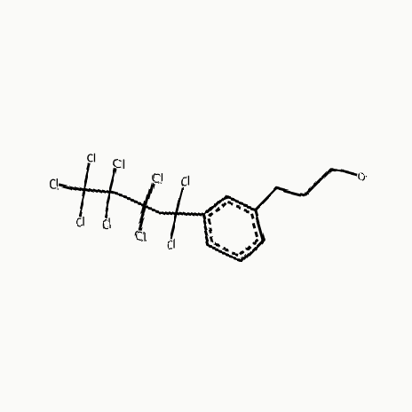 [O]CCCc1cccc(C(Cl)(Cl)C(Cl)(Cl)C(Cl)(Cl)C(Cl)(Cl)Cl)c1